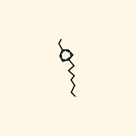 [CH2]CCCCCCc1ccc(CC)cc1